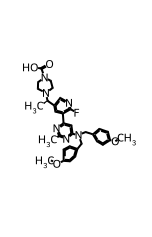 COc1ccc(CN(Cc2ccc(OC)cc2)c2cc(-c3cc([C@@H](C)N4CCN(C(=O)O)CC4)cnc3F)nc(C)n2)cc1